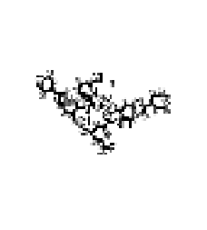 CCOc1cc2nc(C3CCOCC3)cn2cc1NC(=O)c1cc(COCc2cc3nc(C4CCOCC4)cn3cc2NC(=O)c2cccc(C)n2)cc(C(F)F)n1